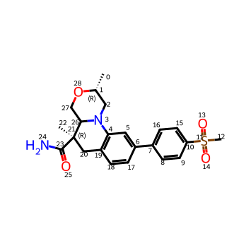 C[C@@H]1CN2c3cc(-c4ccc(S(C)(=O)=O)cc4)ccc3C[C@@](C)(C(N)=O)C2CO1